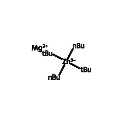 CCC[CH2][Zn-2]([CH2]CCC)([C](C)(C)C)[C](C)(C)C.[Mg+2]